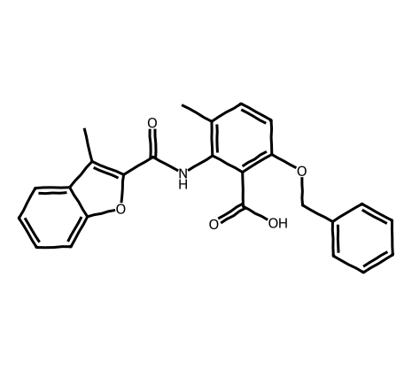 Cc1ccc(OCc2ccccc2)c(C(=O)O)c1NC(=O)c1oc2ccccc2c1C